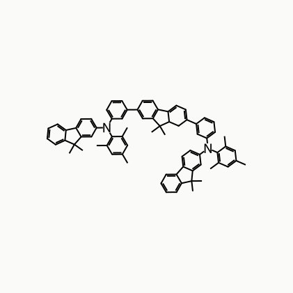 Cc1cc(C)c(N(c2cccc(C3=CC=C4c5ccc(-c6cccc(N(c7ccc8c(c7)C(C)(C)c7ccccc7-8)c7c(C)cc(C)cc7C)c6)cc5C(C)(C)C4C3)c2)c2ccc3c(c2)C(C)(C)c2ccccc2-3)c(C)c1